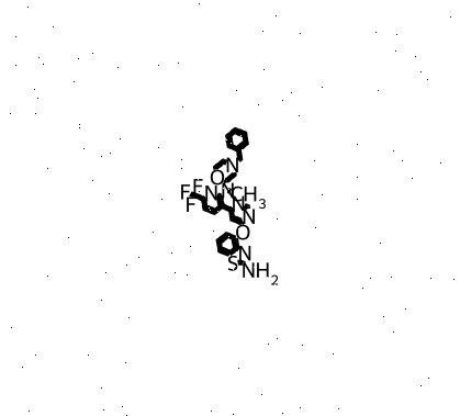 CN(c1nc(C(F)(F)F)ccc1-c1cc(Oc2cccc3sc(N)nc23)ncn1)C1CN(Cc2ccccc2)CCO1